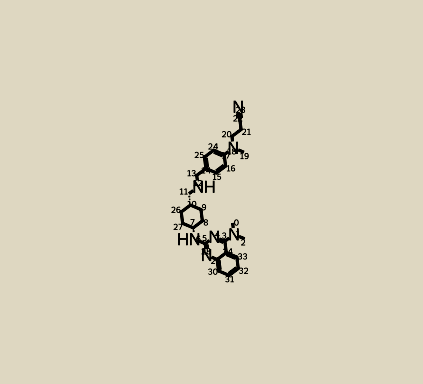 CN(C)c1nc(N[C@H]2CC[C@@H](CNCc3ccc(N(C)CCC#N)cc3)CC2)nc2ccccc12